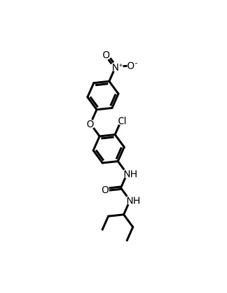 CCC(CC)NC(=O)Nc1ccc(Oc2ccc([N+](=O)[O-])cc2)c(Cl)c1